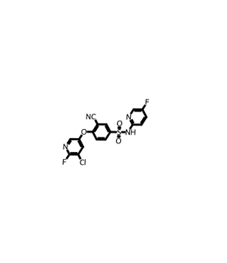 N#Cc1cc(S(=O)(=O)Nc2ccc(F)cn2)ccc1Oc1cnc(F)c(Cl)c1